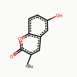 CCCCc1cc2cc(O)ccc2oc1=O